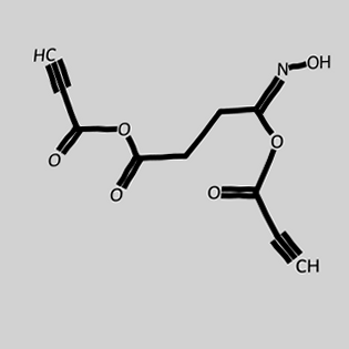 C#CC(=O)OC(=O)CC/C(=N/O)OC(=O)C#C